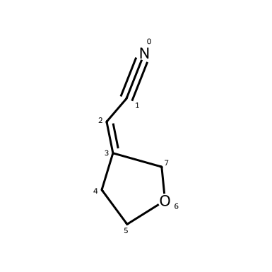 N#CC=C1CCOC1